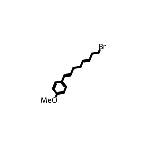 COc1ccc(/C=C/CC/C=C/CCBr)cc1